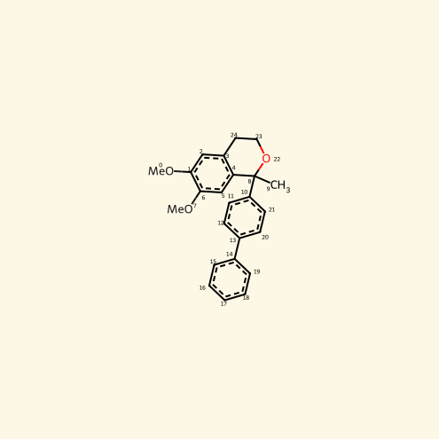 COc1cc2c(cc1OC)C(C)(c1ccc(-c3ccccc3)cc1)OCC2